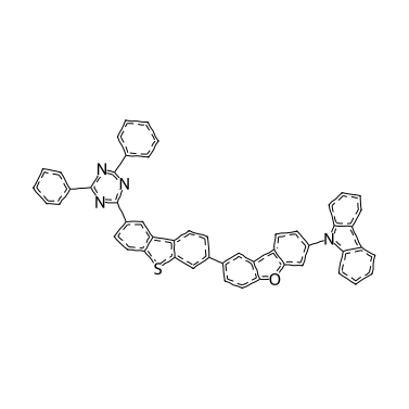 c1ccc(-c2nc(-c3ccccc3)nc(-c3ccc4sc5cc(-c6ccc7oc8cc(-n9c%10ccccc%10c%10ccccc%109)ccc8c7c6)ccc5c4c3)n2)cc1